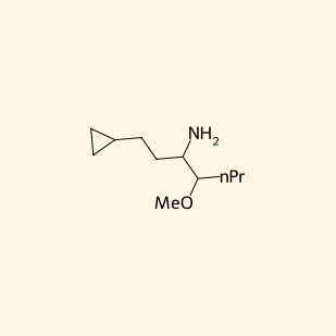 CCCC(OC)C(N)CCC1CC1